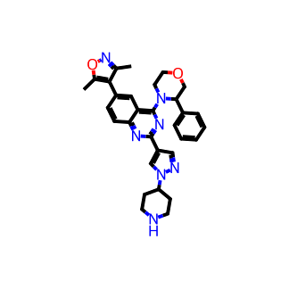 Cc1noc(C)c1-c1ccc2nc(-c3cnn(C4CCNCC4)c3)nc(N3CCOCC3c3ccccc3)c2c1